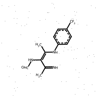 CC(=N)/C(NC=O)=C(/C)Nc1ccc(C(F)(F)F)cc1